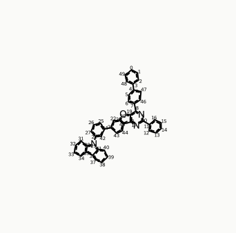 c1ccc(-c2ccc(-c3nc(-c4ccccc4)nc4c3oc3cc(-c5cccc(-n6c7ccccc7c7ccccc76)c5)ccc34)cc2)cc1